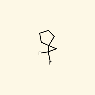 FC1(F)CC12CCCC2